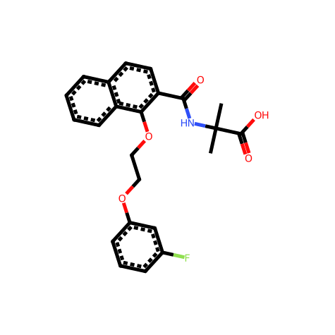 CC(C)(NC(=O)c1ccc2ccccc2c1OCCOc1cccc(F)c1)C(=O)O